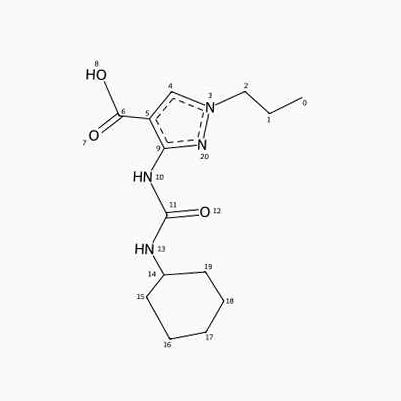 CCCn1cc(C(=O)O)c(NC(=O)NC2CCCCC2)n1